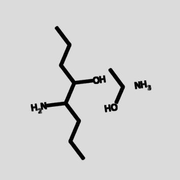 CCCC(N)C(O)CCC.CCO.N